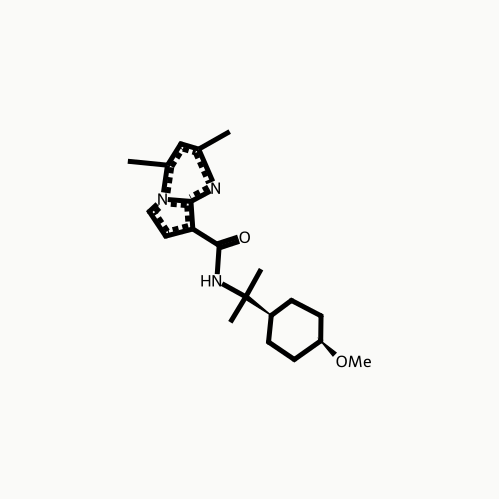 CO[C@H]1CC[C@@H](C(C)(C)NC(=O)c2ccn3c(C)cc(C)nc23)CC1